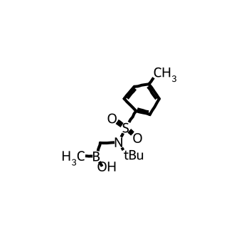 CB(O)CN(C(C)(C)C)S(=O)(=O)c1ccc(C)cc1